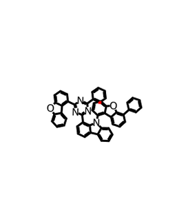 c1ccc(-c2nc(-c3cccc4oc5ccccc5c34)nc(-c3cccc4c5ccccc5n(-c5cccc6oc7c(-c8ccccc8)cccc7c56)c34)n2)cc1